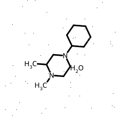 CC1CN(C2CCCCC2)CCN1C.O